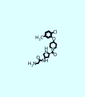 Cc1ccc(Cl)c(OC2CCN(C(=O)[C@H]3CC(NC(=O)CN)CN3)CC2)c1